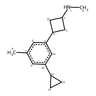 CNC1CC(c2cc(C)cc(C3CC3)c2)C1